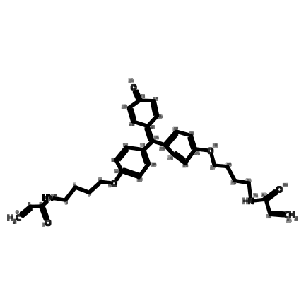 C=CC(=O)NCCCCOc1ccc(C(=C2C=CC(=O)C=C2)c2ccc(OCCCCNC(=O)C=C)cc2)cc1